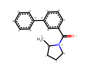 CC1CCCN1C(=O)c1cccc(-c2ccccc2)c1